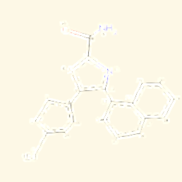 CC(C)(C)c1ccc(-c2sc(C(N)=O)nc2-c2cccc3ccccc23)cc1